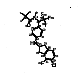 CN(C(=O)C(C)(C)C)C(c1ccc(NC2Cc3ccc(Cl)c(F)c3C2)cn1)C(F)(F)F